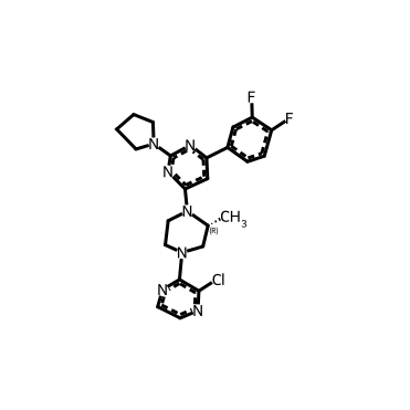 C[C@@H]1CN(c2nccnc2Cl)CCN1c1cc(-c2ccc(F)c(F)c2)nc(N2CCCC2)n1